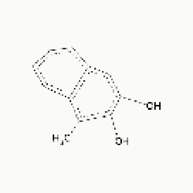 Cc1c(O)c(O)cc2ccccc12